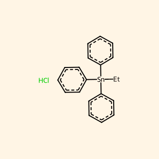 C[CH2][Sn]([c]1ccccc1)([c]1ccccc1)[c]1ccccc1.Cl